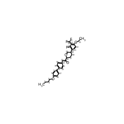 CCCCOc1ccc(-c2ccc(CC(=O)C3CCC(c4ccc(OCC)c(C(F)F)c4F)CO3)cc2)cc1